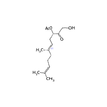 CC(=O)OC(C/C=C(\C)CCC=C(C)C)C(=O)CO